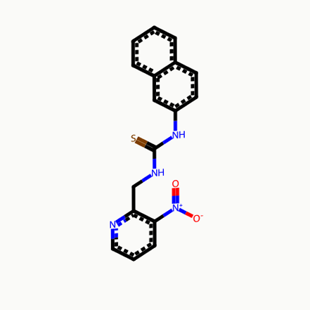 O=[N+]([O-])c1cccnc1CNC(=S)Nc1ccc2ccccc2c1